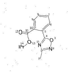 Cc1noc(-c2ccccc2C(=O)OC(C)C)n1